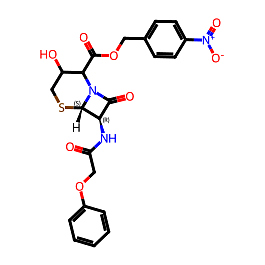 O=C(COc1ccccc1)N[C@@H]1C(=O)N2C(C(=O)OCc3ccc([N+](=O)[O-])cc3)C(O)CS[C@@H]12